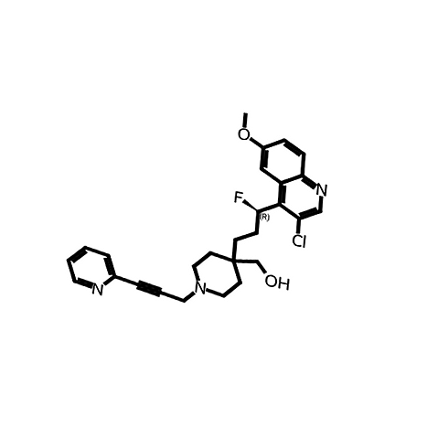 COc1ccc2ncc(Cl)c([C@H](F)CCC3(CO)CCN(CC#Cc4ccccn4)CC3)c2c1